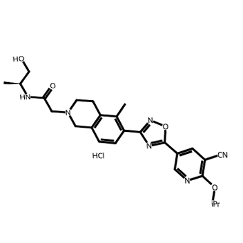 Cc1c(-c2noc(-c3cnc(OC(C)C)c(C#N)c3)n2)ccc2c1CCN(CC(=O)N[C@@H](C)CO)C2.Cl